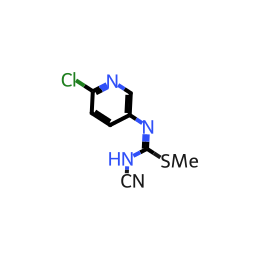 CSC(=Nc1ccc(Cl)nc1)NC#N